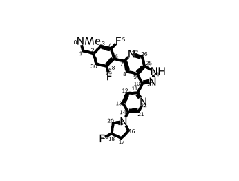 CNCC1C=C(F)C(c2cc3c(-c4ccc(N5CCC(F)C5)cn4)n[nH]c3cn2)=C(F)C1